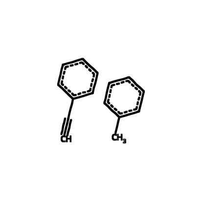 C#Cc1ccccc1.Cc1ccccc1